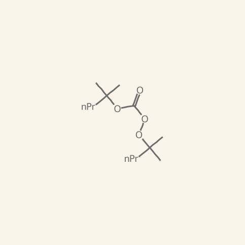 CCCC(C)(C)OOC(=O)OC(C)(C)CCC